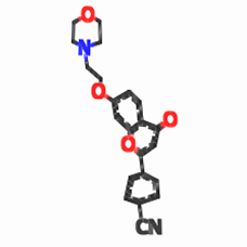 N#Cc1ccc(-c2cc(=O)c3ccc(OCCN4CCOCC4)cc3o2)cc1